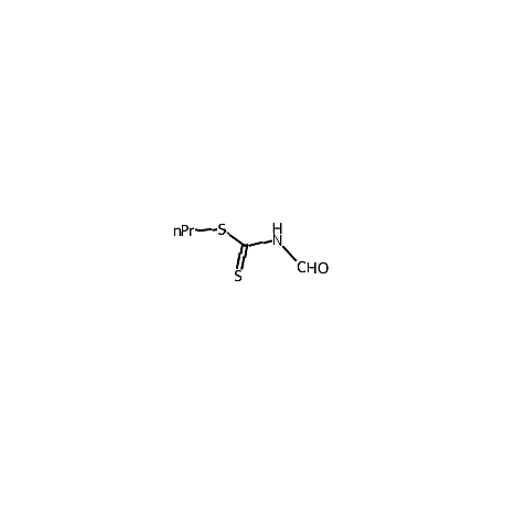 CCCSC(=S)NC=O